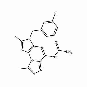 Cc1cc2c(cc(NC(N)=O)c3nnc(C)n32)n1Cc1cccc(Cl)c1